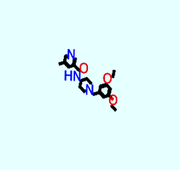 CCOc1cc(CN2CCC(NC(=O)c3cncc(C)c3)CC2)cc(OCC)c1